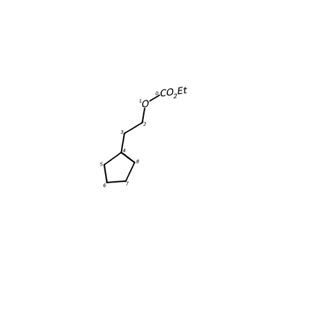 [CH2]COC(=O)OCCC1CCCC1